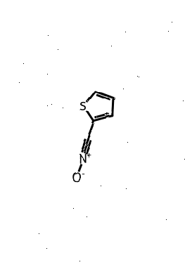 [O-][N+]#Cc1cccs1